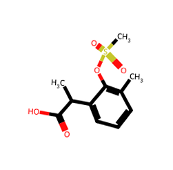 Cc1cccc(C(C)C(=O)O)c1OS(C)(=O)=O